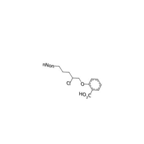 CCCCCCCCCCCCC(Cl)COc1ccccc1C(=O)O